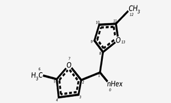 CCCCCCC(c1ccc(C)o1)c1ccc(C)o1